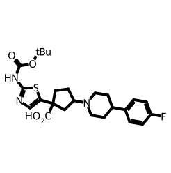 CC(C)(C)OC(=O)Nc1ncc(C2(C(=O)O)CCC(N3CCC(c4ccc(F)cc4)CC3)C2)s1